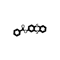 O=C(Oc1ccc2c(c1)Sc1ccccc1S2)c1ccccc1